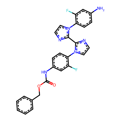 Nc1ccc(-n2ccnc2-c2nccn2-c2ccc(NC(=O)OCc3ccccc3)cc2F)c(F)c1